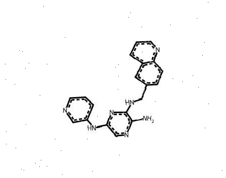 Nc1ncc(Nc2cccnc2)nc1NCc1ccc2ncccc2c1